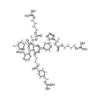 COc1ccccc1Oc1c(OCCOC(=O)c2ccc(CON(O)O)cc2)nc(-c2ccnc(-c3nnnn3C(C)OC(=O)OCCCCON(O)O)c2)nc1N(C(C)OC(=O)OCCCCON(O)O)S(=O)(=O)c1ccc(C)cn1